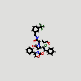 O=CCC[C@@H](C(=O)NCc1cccc(C(F)(F)F)c1)N1C(=O)[C@@H](N2C(=O)OCC2c2ccccc2)[C@H]1/C(Cl)=C/c1ccccc1